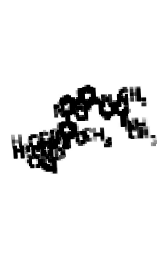 CNCc1cn(C)c2nc(-c3cccc(-c4ccnc(-c5ccc(CN(C[C@@H]6CCC(=O)N6)C(=O)OC(C)(C)C)c(OC)c5)c4Cl)c3Cl)ccc12